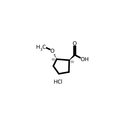 CO[C@H]1CCC[C@@H]1C(=O)O.Cl